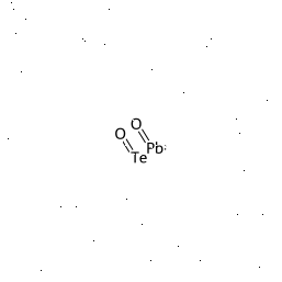 O=[Te].[O]=[Pb]